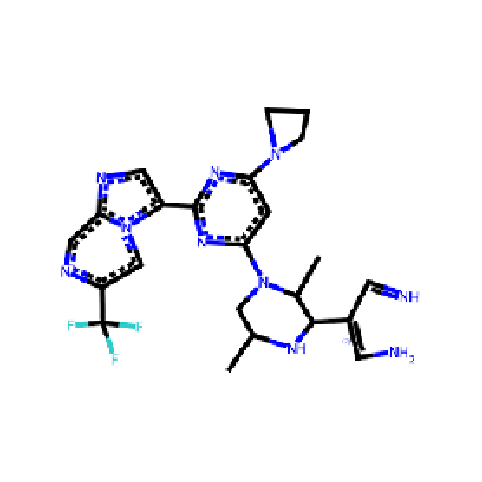 CC1CN(c2cc(N3CCC3)nc(-c3cnc4cnc(C(F)(F)F)cn34)n2)C(C)C(/C(C=N)=C/N)N1